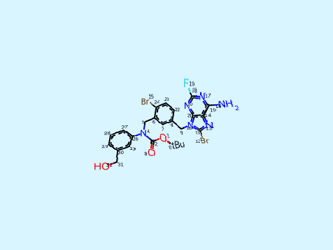 CC(C)(C)OC(=O)N(Cc1cc(Cn2c(Br)nc3c(N)nc(F)nc32)ccc1Br)c1cccc(CO)c1